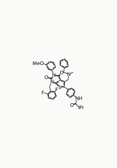 COc1cccc(-n2c(=O)c3c(CN(C)Cc4ccccc4)c(-c4ccc(NC(=O)C(C)C)cc4)sc3n(Cc3c(F)cccc3F)c2=O)c1